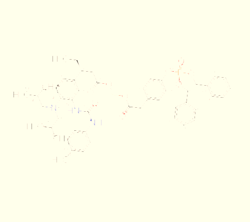 CC[C@@H](CC(=O)OSOC(=O)Cc1ccc(OP(=O)(OCc2ccccc2)OCc2ccccc2)cc1)c1ccc(N(CC(C)C)CC(C)C)c(NC(=O)Nc2ccc(C)cc2)c1